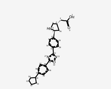 O=C(O)C[C@H]1CN[C@H](c2ccc(-c3noc(-c4ccc(C5CCCC5)cc4)n3)cc2)C1